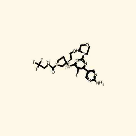 Nc1ncc(-c2nc(N3CCOCC3)nc(N[C@@]3(CCO)CCN(C(=O)NCC(F)(F)F)C3)c2F)cn1